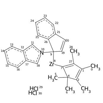 CC1=C(C)C(C)(C)[C]([Zr][C]2(n3cc4ccccc4c3)C=Cc3ccccc32)=C1C.Cl.Cl